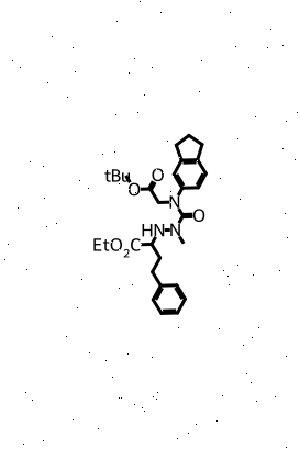 CCOC(=O)C(CCc1ccccc1)NN(C)C(=O)N(CC(=O)OC(C)(C)C)c1ccc2c(c1)CCC2